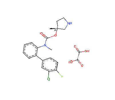 CN(C(=O)O[C@]1(C)CCNC1)c1ccccc1-c1ccc(F)c(Cl)c1.O=C(O)C(=O)O